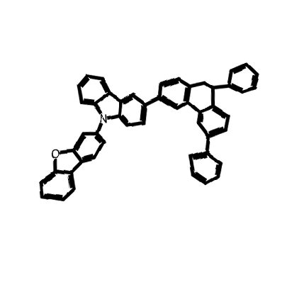 c1ccc(-c2ccc3c(c2)-c2cc(-c4ccc5c(c4)c4ccccc4n5-c4ccc5c(c4)oc4ccccc45)ccc2CC3c2ccccc2)cc1